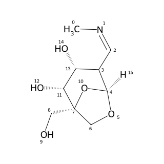 C/N=C\C1[C@H]2OC[C@](CO)(O2)[C@H](O)[C@@H]1O